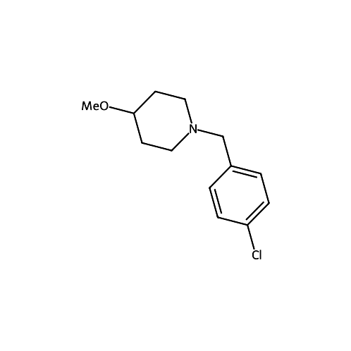 COC1CCN(Cc2ccc(Cl)cc2)CC1